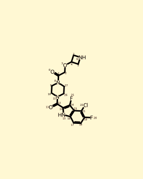 O=C(COC1CNC1)N1CCN(C(=O)c2[nH]c3ccc(F)c(Cl)c3c2F)CC1